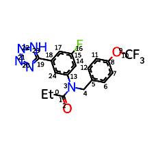 CCC(=O)N(Cc1ccc(OC(F)(F)F)cc1)c1cc(F)cc(-c2nnn[nH]2)c1